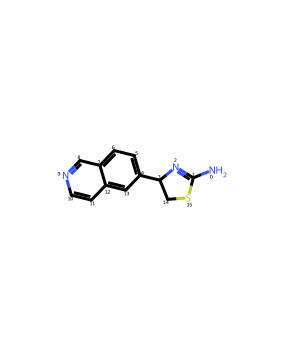 NC1=NC(c2ccc3cnccc3c2)CS1